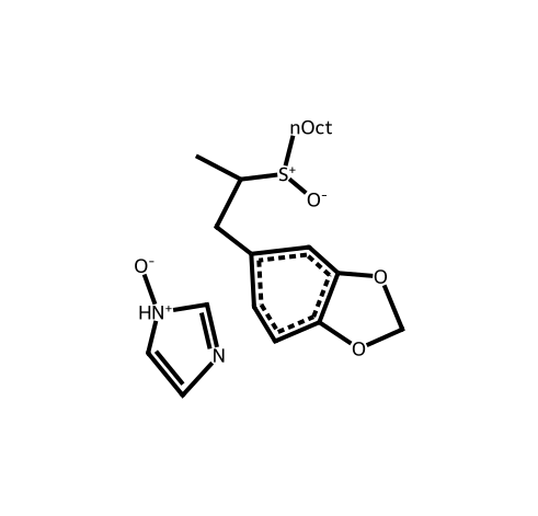 CCCCCCCC[S+]([O-])C(C)Cc1ccc2c(c1)OCO2.[O-][NH+]1C=CN=C1